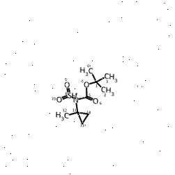 CC(C)(C)OC(=O)N([SH](=O)=O)C1(C)CC1